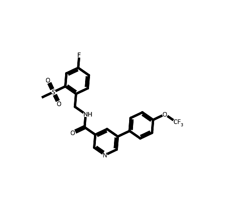 CS(=O)(=O)c1cc(F)ccc1CNC(=O)c1cncc(-c2ccc(OC(F)(F)F)cc2)c1